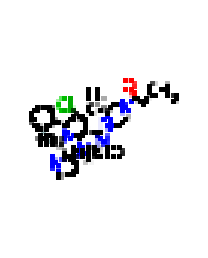 C=CC(=O)N1CCN(/C(=N/C)c2cc(Cl)c(-c3ccccc3F)nc2N(C=O)c2cccnc2C(C)(C)C)C(C)C1